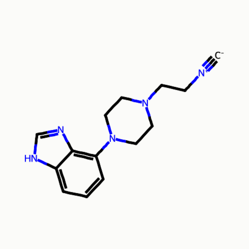 [C-]#[N+]CCN1CCN(c2cccc3[nH]cnc23)CC1